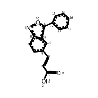 O=C(O)/C=C/c1ccc2noc(-c3ccccc3)c2c1